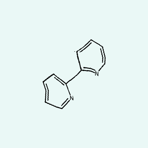 [c]1cccnc1-c1ccccn1